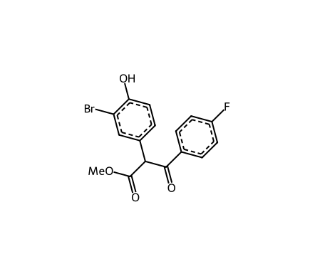 COC(=O)C(C(=O)c1ccc(F)cc1)c1ccc(O)c(Br)c1